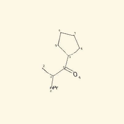 CCCC(C)C(=O)C1CCCC1